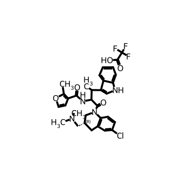 Cc1occc1C(=O)NC(C(=O)N1C[C@@H](CN(C)C)Cc2cc(Cl)ccc21)C(C)c1c[nH]c2ccccc12.O=C(O)C(F)(F)F